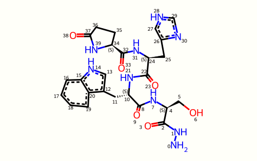 NNC(=O)[C@H](CO)NC(=O)[C@H](Cc1c[nH]c2ccccc12)NC(=O)[C@H](Cc1c[nH]cn1)NC(=O)[C@@H]1CCC(=O)N1